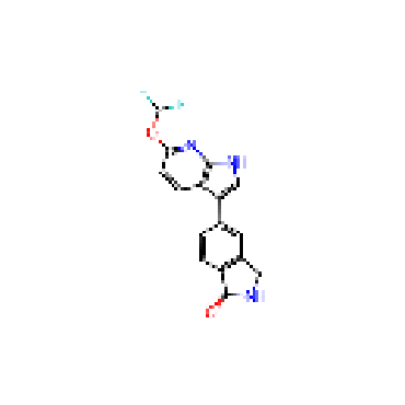 O=C1NCc2cc(-c3c[nH]c4nc(OC(F)F)ccc34)ccc21